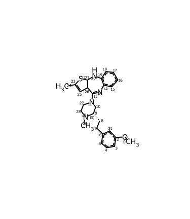 COc1cccc(CC[C@H]2CN(C3=Nc4ccccc4NC4SC(C)=CC34)CCN2C)c1